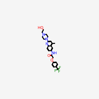 Cc1cc(N2CCN(CCO)CC2)nc2ccc(NC(=O)COc3ccc(C(F)(F)F)cc3)cc12